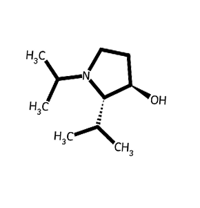 CC(C)[C@H]1[C@H](O)CCN1C(C)C